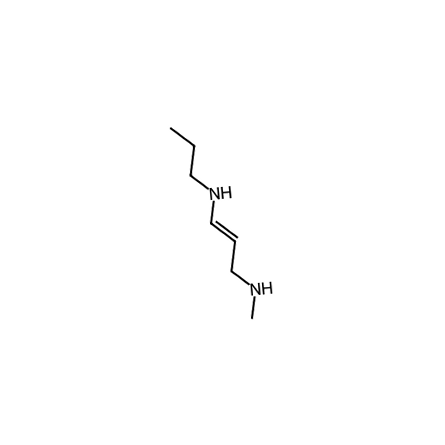 CCCNC=CCNC